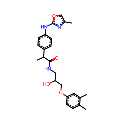 Cc1coc(Nc2ccc(C(C)C(=O)NCC(O)COc3ccc(C)c(C)c3)cc2)n1